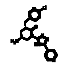 N[C@H]1C[C@@H](Cc2ccc(Cl)nc2)C(=O)N(c2nnc(-c3ccncc3)[nH]2)C1